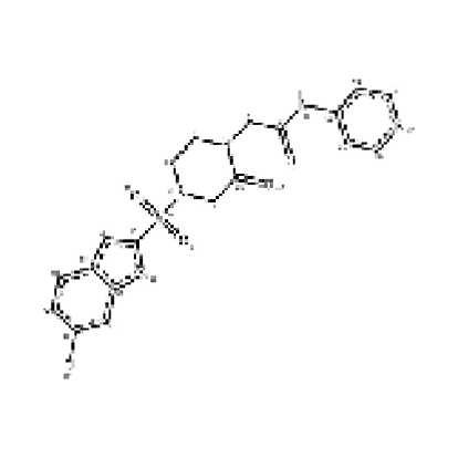 O=C(CN1CCN(S(=O)(=O)c2cc3ccc(Cl)cc3s2)CC1=O)Nc1ccncc1